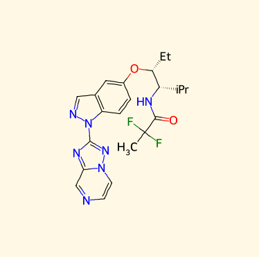 CC[C@@H](Oc1ccc2c(cnn2-c2nc3cnccn3n2)c1)[C@@H](NC(=O)C(C)(F)F)C(C)C